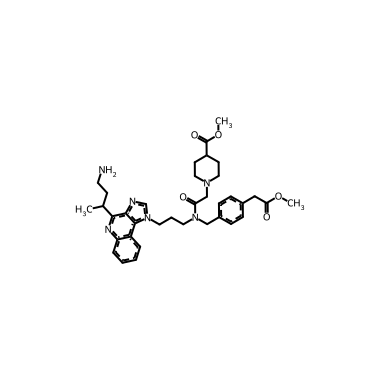 COC(=O)Cc1ccc(CN(CCCn2cnc3c(C(C)CCN)nc4ccccc4c32)C(=O)CN2CCC(C(=O)OC)CC2)cc1